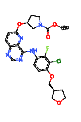 CC(C)(C)OC(=O)N1CC[C@H](Oc2ccc3ncnc(Nc4ccc(OC[C@H]5CCOC5)c(Cl)c4F)c3n2)C1